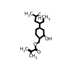 C=C(C)C(=O)OCC1CCC(C(CC)CC(C)C)CC1O